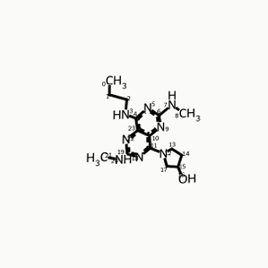 CCCNc1nc(NC)nc2c(N3CCC(O)C3)nc(NC)nc12